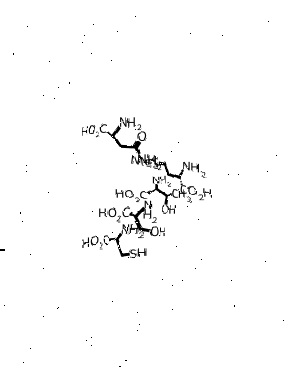 CSCC[C@H](N)C(=O)O.C[C@@H](O)[C@H](N)C(=O)O.NC(=O)C[C@H](N)C(=O)O.N[C@@H](CO)C(=O)O.N[C@@H](CS)C(=O)O